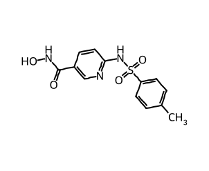 Cc1ccc(S(=O)(=O)Nc2ccc(C(=O)NO)cn2)cc1